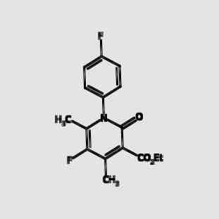 CCOC(=O)c1c(C)c(F)c(C)n(-c2ccc(F)cc2)c1=O